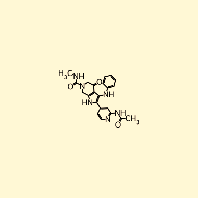 CNC(=O)N1CC(=O)c2c([nH]c(-c3ccnc(NC(C)=O)c3)c2Nc2ccccc2)C1